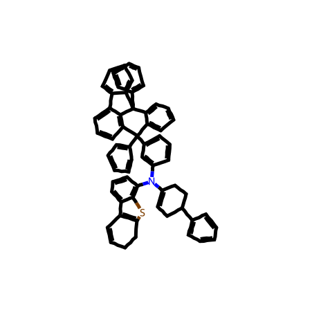 C1=Cc2c(sc3c(N(C4=CCC(c5ccccc5)CC4)c4cccc(C5(c6ccccc6)c6ccccc6C6(c7ccccc7)c7ccccc7-c7cccc5c76)c4)cccc23)CC1